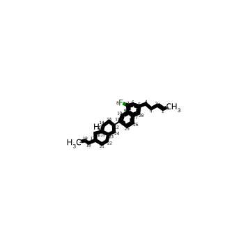 C/C=C/CCc1cc(F)c2cc([C@@H]3CC[C@@H]4CC(CCC)CCC4C3)ccc2c1